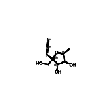 C[C@@H]1O[C@@](CO)(N=[N+]=[N-])[C@@H](O)C1O